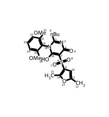 CCCCc1nc(=O)c(S(=O)(=O)c2cc(C)oc2C)c(O)n1-c1c(OC)cccc1OC